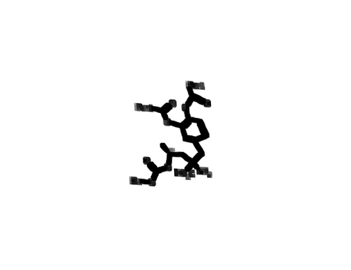 CCCC(C)C(=O)Oc1ccc(CC(N)(C[C@H](C)OC(=O)OC(C)CC)C(=O)O)cc1OC(=O)C(C)CCC